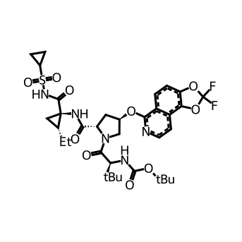 CC[C@@H]1C[C@]1(NC(=O)[C@@H]1C[C@@H](Oc2nccc3c4c(ccc23)OC(F)(F)O4)CN1C(=O)[C@@H](NC(=O)OC(C)(C)C)C(C)(C)C)C(=O)NS(=O)(=O)C1CC1